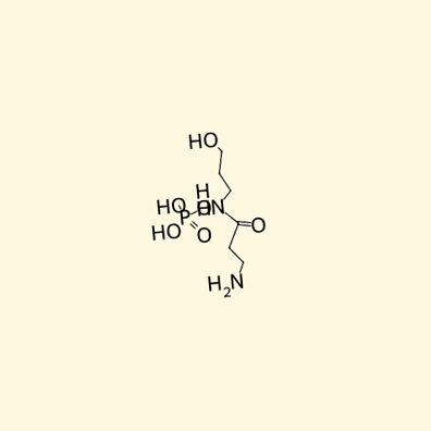 NCCC(=O)NCCCO.O=P(O)(O)O